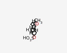 C[C@@H]1OC[C@]23CC[C@H]4[C@@H](CC[C@@H]5C[C@H](OS(=O)(=O)O)CC[C@@]54C)C2CC[C@H]13